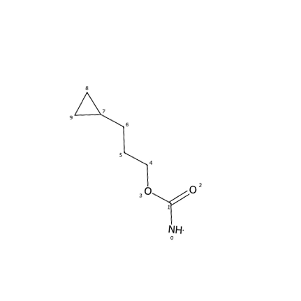 [NH]C(=O)OCCCC1CC1